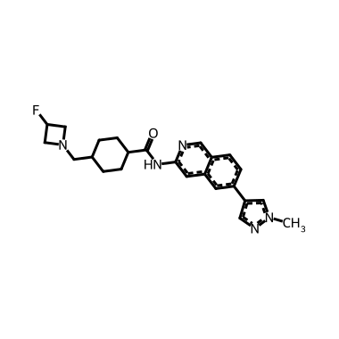 Cn1cc(-c2ccc3cnc(NC(=O)C4CCC(CN5CC(F)C5)CC4)cc3c2)cn1